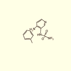 Cc1ccccc1.Nc1ccncc1NS(N)(=O)=O